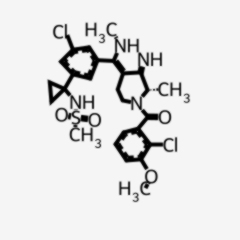 CN/C(=C1/CCN(C(=O)c2cccc(OC)c2Cl)[C@@H](C)C1=N)c1cc(Cl)cc(C2(NS(C)(=O)=O)CC2)c1